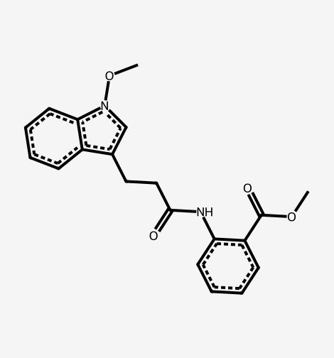 COC(=O)c1ccccc1NC(=O)CCc1cn(OC)c2ccccc12